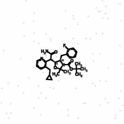 CC(C)(C)OC(=O)N1[C@H](Cc2ccccc2F)[C@H](C(C(N)=O)c2ncccc2CC2CC2)OC1(C)C